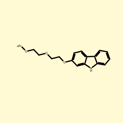 CCCOCCOCCOc1ccc2c(c1)[nH]c1ccccc12